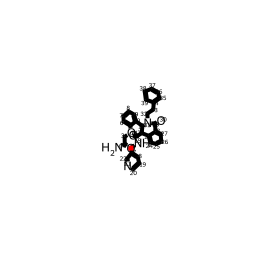 NC(=O)COc1ccccc1C1C(C(=O)NCc2cccnc2)c2ccccc2C(=O)N1CCc1ccccc1